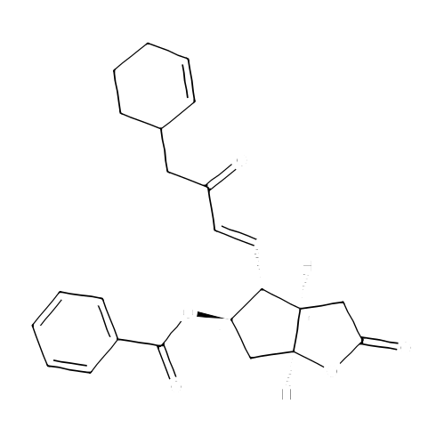 O=C(/C=C/[C@@H]1[C@H]2CC(=O)O[C@H]2C[C@H]1OC(=O)c1ccccc1)CC1C=CCCC1